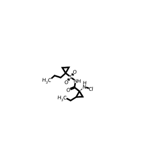 CCCC1(S(=O)(=O)NC(=O)[C@@]2(NCl)CC2CC)CC1